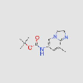 Cc1cc(NC(=O)OC(C)(C)C)cn2ccnc12